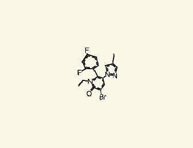 CCn1c(-c2ccc(F)cc2F)c(-n2cc(C)cn2)cc(Br)c1=O